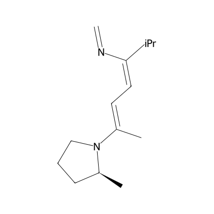 C=N/C(=C\C=C(/C)N1CCC[C@@H]1C)C(C)C